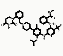 CNC(=O)c1ccccc1Nc1cc(Nc2cc(C)c(C3CCN(Cc4ccccc4N4CCC(=O)NC4=O)CC3)cc2OC(C)C)ncc1C(F)(F)F